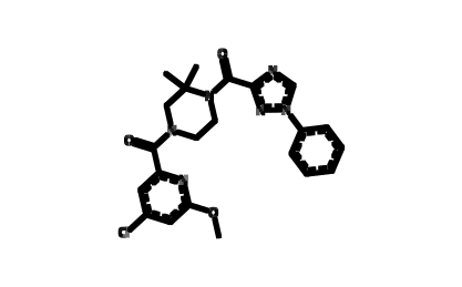 COc1cc(Cl)cc(C(=O)N2CCN(C(=O)c3ncn(-c4ccccc4)n3)C(C)(C)C2)n1